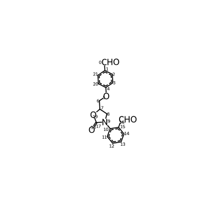 O=Cc1ccc(OCC2CN(c3ccccc3C=O)C(=O)O2)cc1